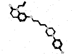 C=CCN1C(=O)CCc2ccc(OCCCCN3CCN(c4ccc(Br)cc4)CC3)cc21